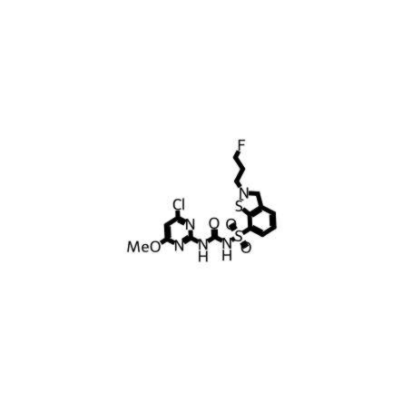 COc1cc(Cl)nc(NC(=O)NS(=O)(=O)c2cccc3c2SN(CCCF)C3)n1